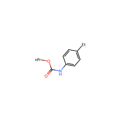 CCCOC(=O)Nc1ccc(CC)cc1